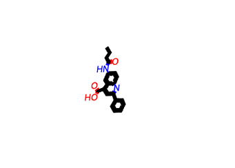 CCCC(=O)Nc1ccc2nc(-c3ccccc3)cc(C(=O)O)c2c1